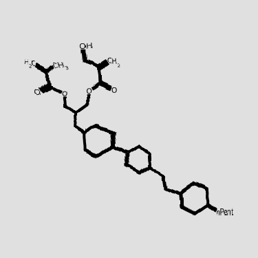 C=C(C)C(=O)OCC(COC(=O)C(=C)CO)CC1CCC(C2CCC(CCC3CCC(CCCCC)CC3)CC2)CC1